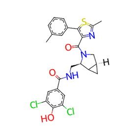 Cc1cccc(-c2sc(C)nc2C(=O)N2C[C@H]3CC3[C@H]2CNC(=O)c2cc(Cl)c(O)c(Cl)c2)c1